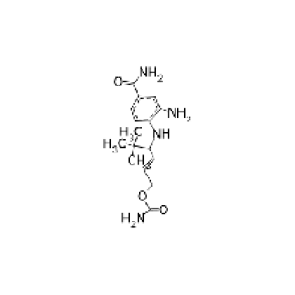 CC(C)(C)C(C=CCOC(N)=O)Nc1ccc(C(N)=O)cc1N